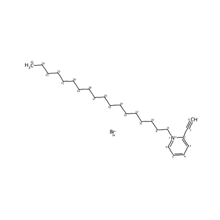 C#Cc1cccc[n+]1CCCCCCCCCCCCCCCCCC.[Br-]